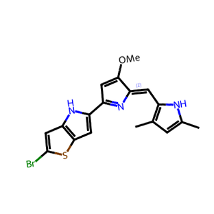 COC1=CC(c2cc3sc(Br)cc3[nH]2)=N/C1=C\c1[nH]c(C)cc1C